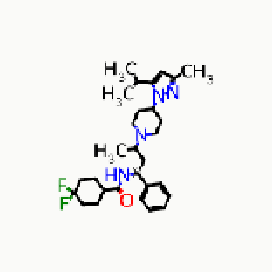 Cc1cc(C(C)C)n(C2CCN(C(C)C[C@H](NC(=O)C3CCC(F)(F)CC3)c3ccccc3)CC2)n1